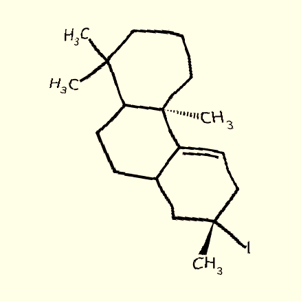 CC1(C)CCC[C@@]2(C)C3=CC[C@](C)(I)CC3CCC12